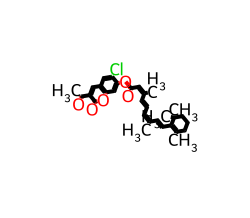 CC(=O)c1cc2cc(Cl)c(OC(=O)C=C(C)C=CC=C(C)C=CC3=C(C)CCCC3(C)C)cc2oc1=O